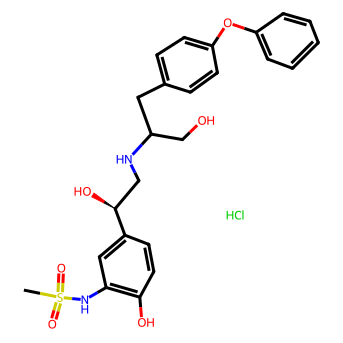 CS(=O)(=O)Nc1cc([C@@H](O)CNC(CO)Cc2ccc(Oc3ccccc3)cc2)ccc1O.Cl